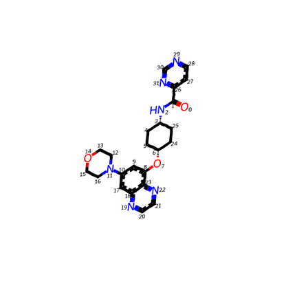 O=C(N[C@H]1CC[C@@H](Oc2cc(N3CCOCC3)cc3nccnc23)CC1)c1ccncn1